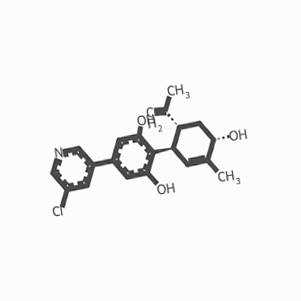 C=C(C)[C@@H]1C[C@H](O)C(C)=C[C@H]1c1c(O)cc(-c2cncc(Cl)c2)cc1O